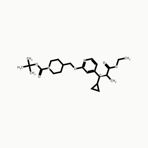 CCOC(=O)C(C)[C@H](c1ccnc(OCC2CCN(C(=O)OC(C)(C)C)CC2)c1)C1CC1